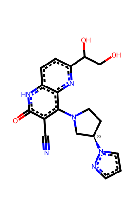 N#Cc1c(N2CC[C@@H](n3cccn3)C2)c2nc(C(O)CO)ccc2[nH]c1=O